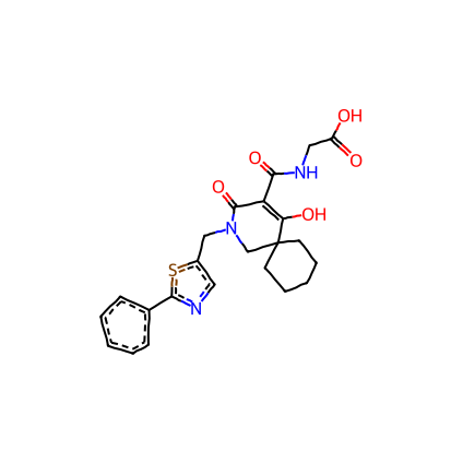 O=C(O)CNC(=O)C1=C(O)C2(CCCCC2)CN(Cc2cnc(-c3ccccc3)s2)C1=O